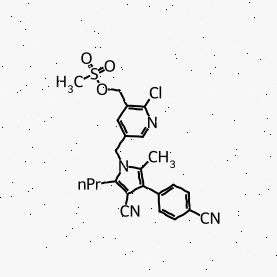 CCCc1c(C#N)c(-c2ccc(C#N)cc2)c(C)n1Cc1cnc(Cl)c(COS(C)(=O)=O)c1